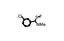 CNC(SF)c1cccc(Cl)c1